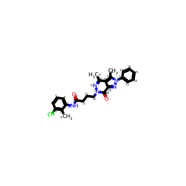 Cc1c(Cl)cccc1NC(=O)CCCn1nc(C)c2c(C)n(-c3ccccc3)nc2c1=O